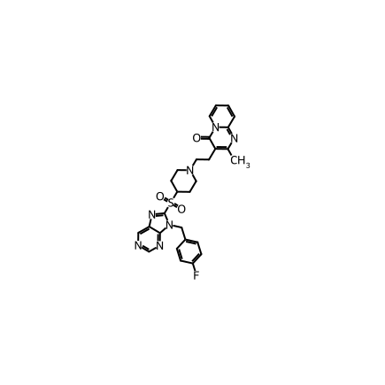 Cc1nc2ccccn2c(=O)c1CCN1CCC(S(=O)(=O)c2nc3cncnc3n2Cc2ccc(F)cc2)CC1